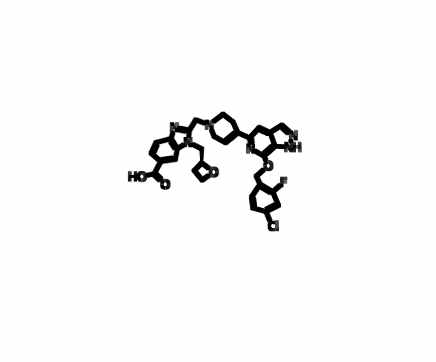 O=C(O)c1ccc2nc(CN3CC=C(c4cc5cn[nH]c5c(OCc5ccc(Cl)cc5F)n4)CC3)n(C[C@@H]3CCO3)c2c1